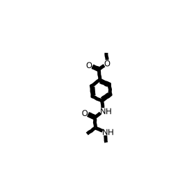 CNC(C)C(=O)Nc1ccc(C(=O)OC)cc1